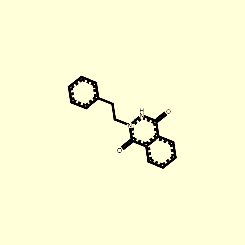 O=c1[nH]n(CCc2ccccc2)c(=O)c2ccccc12